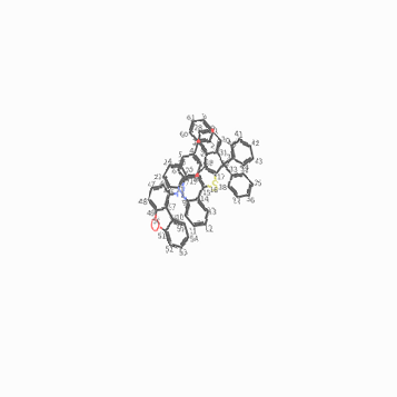 c1ccc(-c2ccc(N(c3ccccc3-c3sc4c(c3-c3ccccc3)-c3ccccc3C4(c3ccccc3)c3ccccc3)c3cccc4oc5ccccc5c34)cc2)cc1